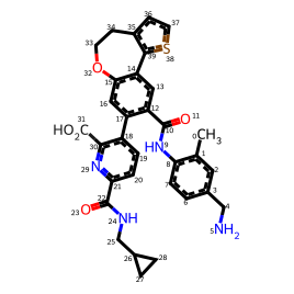 Cc1cc(CN)ccc1NC(=O)c1cc2c(cc1-c1ccc(C(=O)NCC3CC3)nc1C(=O)O)OCCc1ccsc1-2